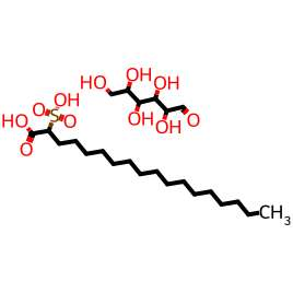 CCCCCCCCCCCCCCCCC(C(=O)O)S(=O)(=O)O.O=CC(O)C(O)C(O)C(O)CO